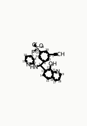 C#Cc1cc(C(Nc2ccccn2)c2ccc3cccnc3c2O)cc(S(=O)(=O)F)c1